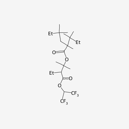 CCC(C(=O)OC(C(F)(F)F)C(F)(F)F)C(C)(C)OC(=O)C(C)(CC(C)(C)CC)C(C)(C)CC